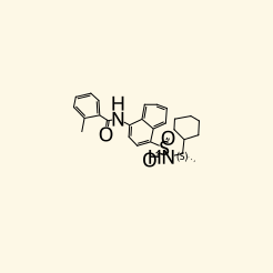 Cc1ccccc1C(=O)Nc1ccc(S(=O)(=O)N[C@@H](C)C2CCCCC2)c2ccccc12